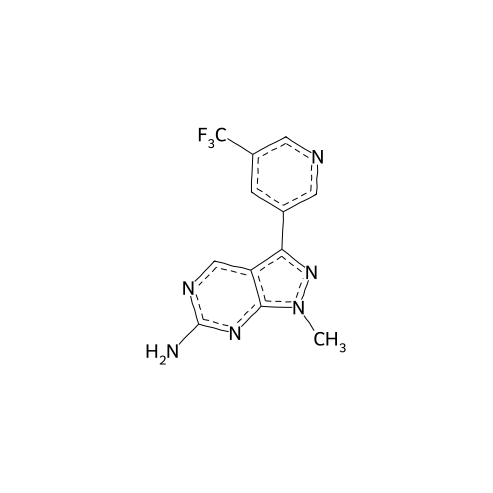 Cn1nc(-c2cncc(C(F)(F)F)c2)c2cnc(N)nc21